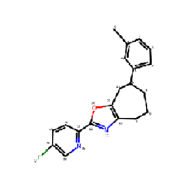 Cc1cccc(C2CCCc3nc(-c4ccc(F)cn4)oc3C2)c1